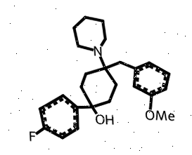 COc1cccc(CC2(N3CCCCC3)CCC(O)(c3ccc(F)cc3)CC2)c1